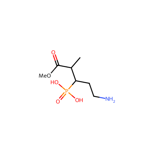 COC(=O)C(C)C(CCN)P(=O)(O)O